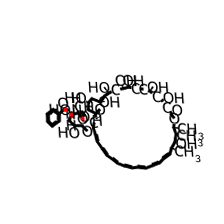 C[C@@H]1[C@H](O)[C@@H](C)/C=C/C=C/C=C/C=C/C=C/C=C/C=C/[C@H](OC2O[C@@H](C)[C@@H](O)C[C@@H]2O)C[C@@H]2O[C@](O)(C[C@@H](O)C[C@@H](O)[C@H](O)CC[C@@H](O)C[C@@H](O)CC(=O)O[C@H]1C)C[C@H](O)[C@H]2C(=O)NNC(=O)c1ccccc1